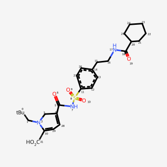 CC(C)(C)CN1CC(C(=O)NS(=O)(=O)c2ccc(CCNC(=O)C3CCCCC3)cc2)=CC=C1C(=O)O